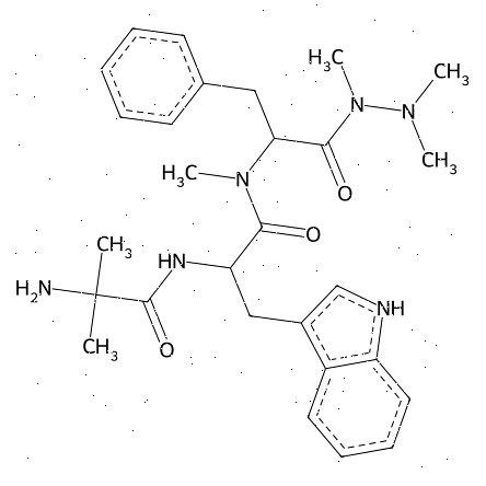 CN(C(=O)C(Cc1c[nH]c2ccccc12)NC(=O)C(C)(C)N)C(Cc1ccccc1)C(=O)N(C)N(C)C